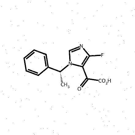 C[C@H](c1ccccc1)n1cnc(F)c1C(=O)C(=O)O